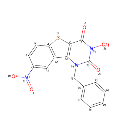 O=c1c2sc3ccc([N+](=O)[O-])cc3c2n(Cc2ccccc2)c(=O)n1O